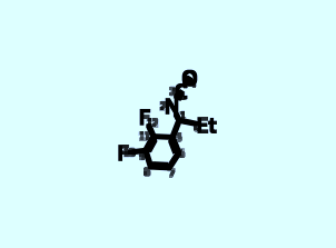 CCC(N=C=O)c1cccc(F)c1F